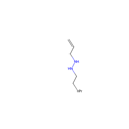 C=C[CH]NNCCCCC